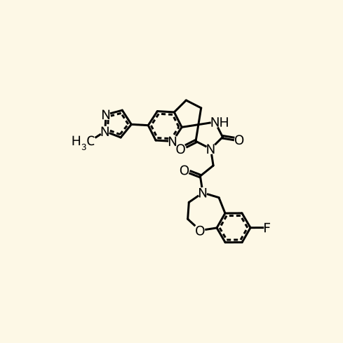 Cn1cc(-c2cnc3c(c2)CCC32NC(=O)N(CC(=O)N3CCOc4ccc(F)cc4C3)C2=O)cn1